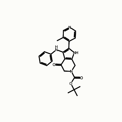 Cc1cnccc1-c1[nH]c2c(c1Nc1ccccc1)C(=O)CN(C(=O)OC(C)(C)C)C2